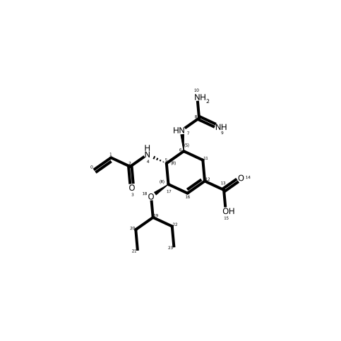 C=CC(=O)N[C@@H]1[C@@H](NC(=N)N)CC(C(=O)O)=C[C@H]1OC(CC)CC